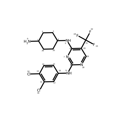 NC1CCC(Nc2nc(Nc3ccc(Cl)c(Cl)c3)ncc2C(F)(F)F)CC1